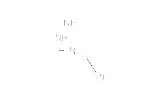 N.N.N.[Cl][Pt]